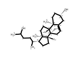 CC(O)CCC(C)[C@H]1CC[C@H]2[C@@H]3CC=C4C[C@@H](O)CC[C@]4(C)[C@H]3CC[C@]12C